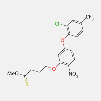 COC(=S)CCCOc1cc(Oc2ccc(C(F)(F)F)cc2Cl)ccc1[N+](=O)[O-]